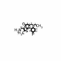 CCN(Cc1cc(=O)n2c(CN)c(C)sc2n1)c1ccc(F)cc1